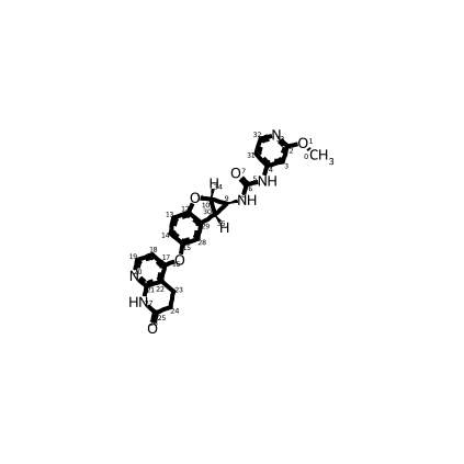 COc1cc(NC(=O)N[C@@H]2[C@H]3Oc4ccc(Oc5ccnc6c5CCC(=O)N6)cc4[C@@H]23)ccn1